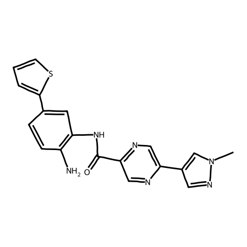 Cn1cc(-c2cnc(C(=O)Nc3cc(-c4cccs4)ccc3N)cn2)cn1